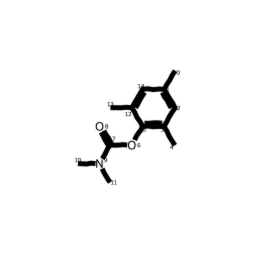 Cc1cc(C)c(OC(=O)N(C)C)c(C)c1